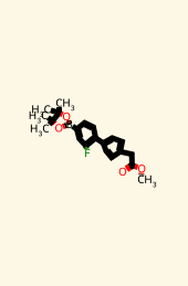 COC(=O)Cc1ccc(-c2ccc(B3OC(C)(C)C(C)(C)O3)cc2F)cc1